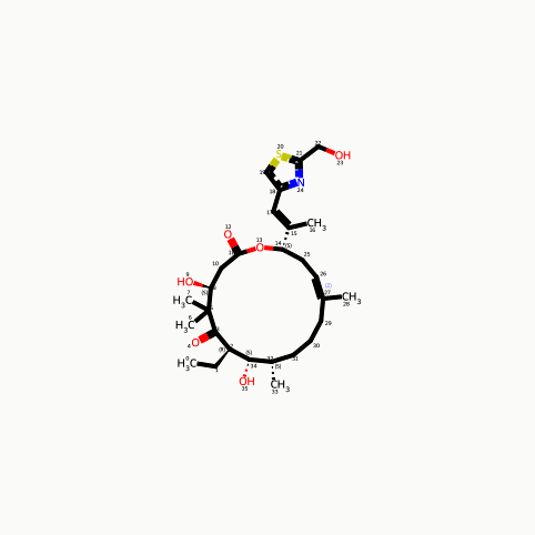 CC[C@H]1C(=O)C(C)(C)[C@@H](O)CC(=O)O[C@H](C(C)=Cc2csc(CO)n2)C/C=C(/C)CCC[C@H](C)[C@@H]1O